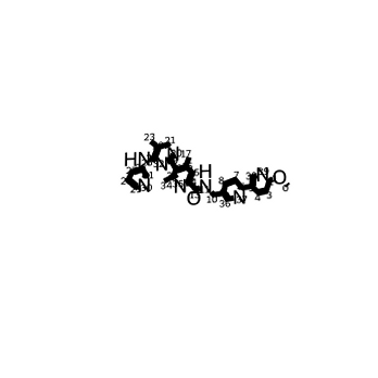 COc1ccc(-c2ccc(CNC(=O)c3cc(C)c(-c4ncc(C)c(Nc5cccnc5)n4)c(C)n3)cn2)cn1